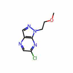 COCCn1ncc2ncc(Cl)nc21